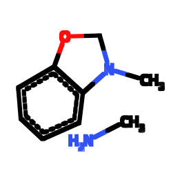 CN.CN1COc2ccccc21